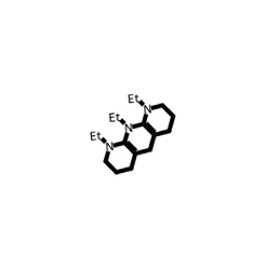 CCN1CCCC2=C1N(CC)C1=C(CCCN1CC)C2